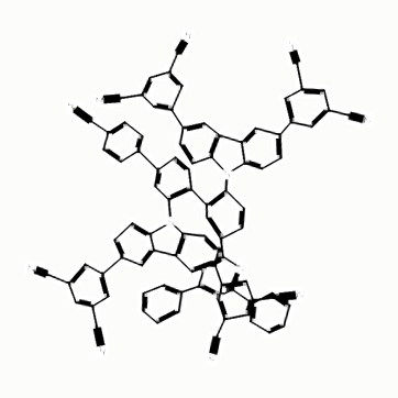 N#Cc1ccc(-c2ccc(-c3cc(-c4nc(-c5ccccc5)nc(-c5ccccc5)n4)ccc3-n3c4ccc(-c5cc(C#N)cc(C#N)c5)cc4c4cc(-c5cc(C#N)cc(C#N)c5)ccc43)c(-n3c4ccc(-c5cc(C#N)cc(C#N)c5)cc4c4cc(-c5cc(C#N)cc(C#N)c5)ccc43)c2)cc1